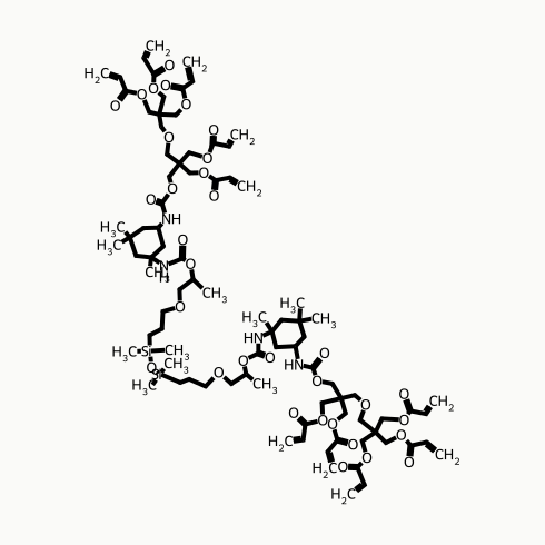 C=CC(=O)OCC(COCC(COC(=O)C=C)(COC(=O)C=C)COC(=O)NC1CC(C)(C)CC(C)(NC(=O)OC(C)COCCC[Si](C)(C)O[Si](C)(C)CCCOCC(C)OC(=O)NC2(C)CC(NC(=O)OCC(COCC(COC(=O)C=C)(COC(=O)C=C)COC(=O)C=C)(COC(=O)C=C)COC(=O)C=C)CC(C)(C)C2)C1)(COC(=O)C=C)COC(=O)C=C